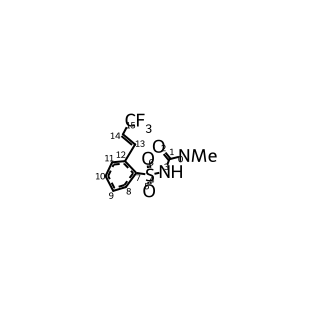 CNC(=O)NS(=O)(=O)c1ccccc1C=CC(F)(F)F